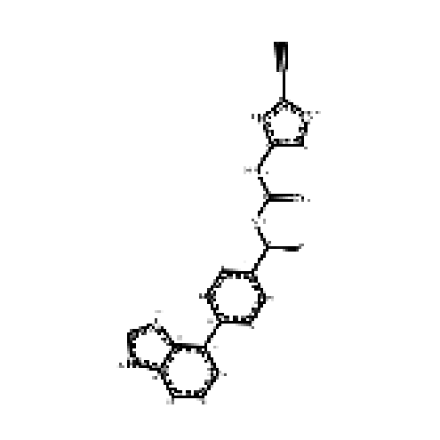 C#Cc1nc(NC(=O)N[C@@H](C)c2ccc(-c3cccc4ncsc34)cc2)cs1